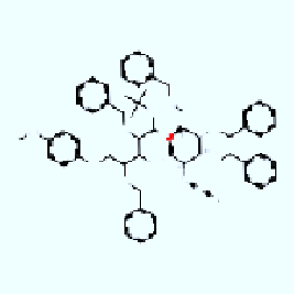 COc1ccc(OCC(OCc2ccccc2)C(O[C@@H]2O[C@H](COCc3ccccc3)[C@@H](OCc3ccccc3)[C@H](OCc3ccccc3)[C@H]2N=[N+]=[N-])C(OCc2ccccc2)C(OC(C)(C)C)[SiH](C)C)cc1